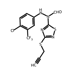 C#CCSc1nsc(N(C=O)Nc2ccc(Cl)c(C(F)(F)F)c2)n1